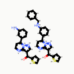 Nc1cccc(-c2ccnc3c(C(=O)c4cccs4)cnn23)c1.O=C(c1cccs1)c1cnn2c(-c3cccc(NCc4ccccc4)c3)ccnc12